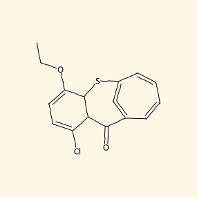 CCOC1=CC=C(Cl)C2C(=O)C3=C=C(C=CC=C3)SC12